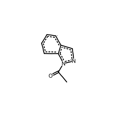 CC(=O)n1ncc2[c]cccc21